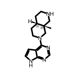 C[C@]12CNCC[C@H]1CCN(c1ncnc3[nH]ccc13)C2